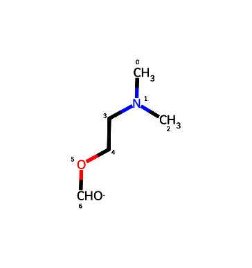 CN(C)CCO[C]=O